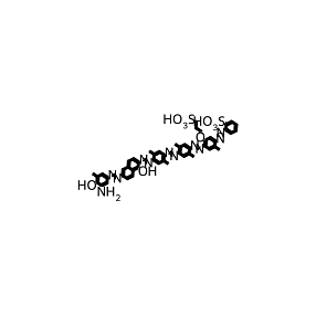 Cc1cc(N=Nc2cc(C)c(N=Nc3ccccc3S(=O)(=O)O)cc2OCCCS(=O)(=O)O)c(C)cc1N=Nc1cc(C)c(N=Nc2ccc3cc(N=Nc4cc(C)c(O)c(N)c4)ccc3c2O)cc1C